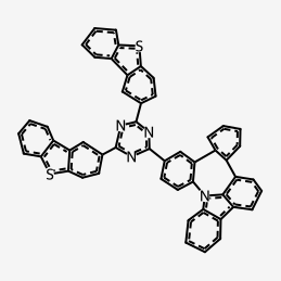 c1ccc2c(c1)-c1cc(-c3nc(-c4ccc5sc6ccccc6c5c4)nc(-c4ccc5sc6ccccc6c5c4)n3)ccc1-n1c3ccccc3c3cccc-2c31